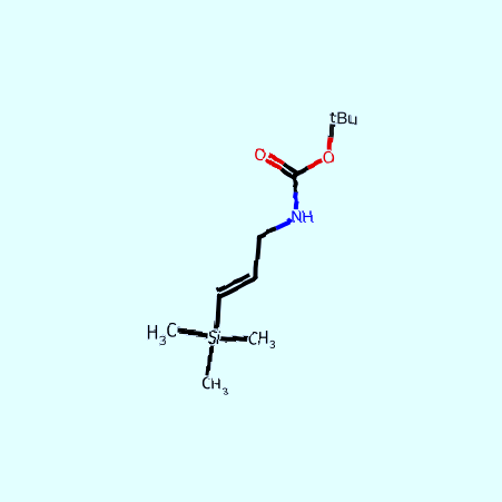 CC(C)(C)OC(=O)NC/C=C/[Si](C)(C)C